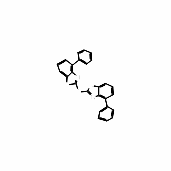 c1ccc(-c2cccc3sc(Sc4nc5c(-c6ccccc6)cccc5s4)nc23)cc1